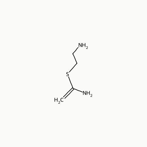 C=C(N)SCCN